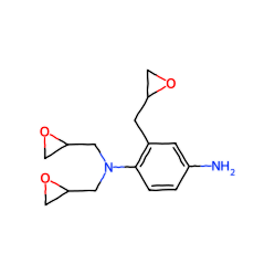 Nc1ccc(N(CC2CO2)CC2CO2)c(CC2CO2)c1